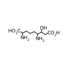 NC(CCCC(N)C(O)CC(=O)O)C(=O)O